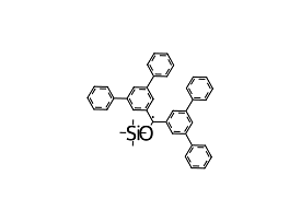 C[Si](C)(C)O[C](c1cc(-c2ccccc2)cc(-c2ccccc2)c1)c1cc(-c2ccccc2)cc(-c2ccccc2)c1